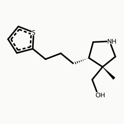 C[C@]1(CO)CNC[C@H]1CCCc1cccs1